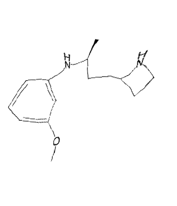 COc1cccc(N[C@@H](C)CC2CCN2)c1